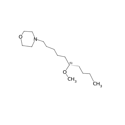 CCCC[C@@H](CCCCCN1CCOCC1)OC